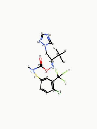 CN(Sc1ccc(Cl)c(C(F)(F)F)c1)C(=O)ON=C(Cn1cncn1)C(C)(C)C